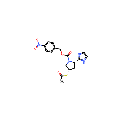 CC(=O)S[C@H]1C[C@@H](c2ncc[nH]2)N(C(=O)OCc2ccc([N+](=O)[O-])cc2)C1